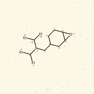 CCC(CC)N(CC1CCC2OC2C1)C(CC)CC